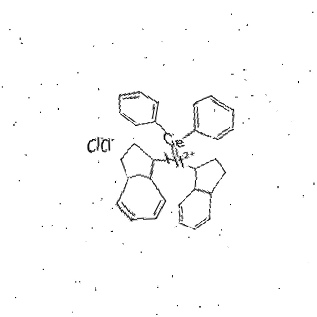 C1=CC2CC[CH]([Hf+2]([CH]3CCC4C=CC=CC43)=[Ge]([c]3ccccc3)[c]3ccccc3)C2C=C1.[Cl-].[Cl-]